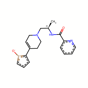 C[C@H](CN1CC=C(c2ccc[s+]2[O-])CC1)NC(=O)c1ccccn1